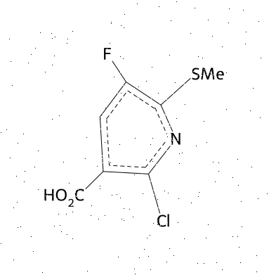 CSc1nc(Cl)c(C(=O)O)cc1F